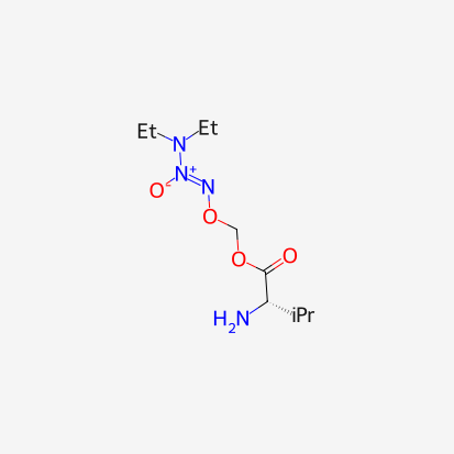 CCN(CC)/[N+]([O-])=N/OCOC(=O)[C@@H](N)C(C)C